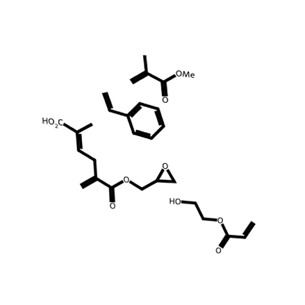 C=C(C)C(=O)OC.C=C(CC=C(C)C(=O)O)C(=O)OCC1CO1.C=CC(=O)OCCO.C=Cc1ccccc1